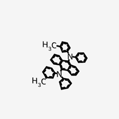 Cc1cccc(N(c2ccccc2)c2c3ccccc3c(N(c3ccccc3)c3cccc(C)c3)c3ccccc23)c1